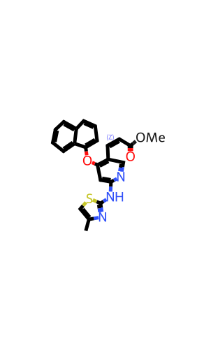 COC(=O)/C=C\c1cnc(Nc2nc(C)cs2)cc1Oc1cccc2ccccc12